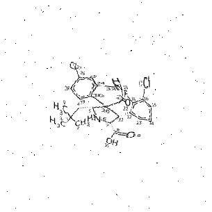 CC(C)(C)C[C@H]1N[C@@H](C(=O)O)[C@@H](c2cccc(Cl)c2F)C12C(=O)Nc1cc(Cl)ccc12